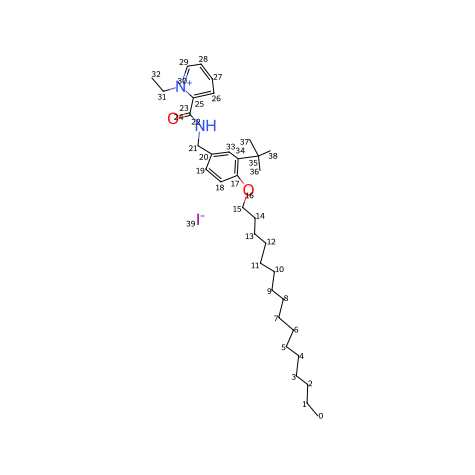 CCCCCCCCCCCCCCCCOc1ccc(CNC(=O)c2cccc[n+]2CC)cc1C(C)(C)C.[I-]